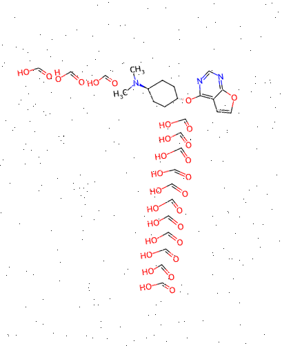 CN(C)[C@H]1CC[C@H](Oc2ncnc3occc23)CC1.O=CO.O=CO.O=CO.O=CO.O=CO.O=CO.O=CO.O=CO.O=CO.O=CO.O=CO.O=CO.O=CO.O=CO